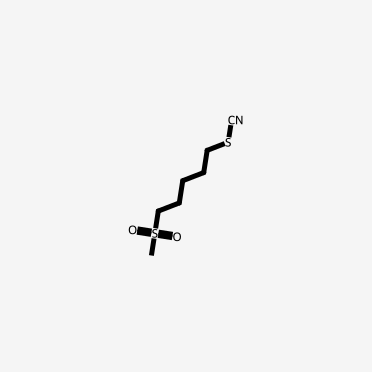 CS(=O)(=O)CCCCCSC#N